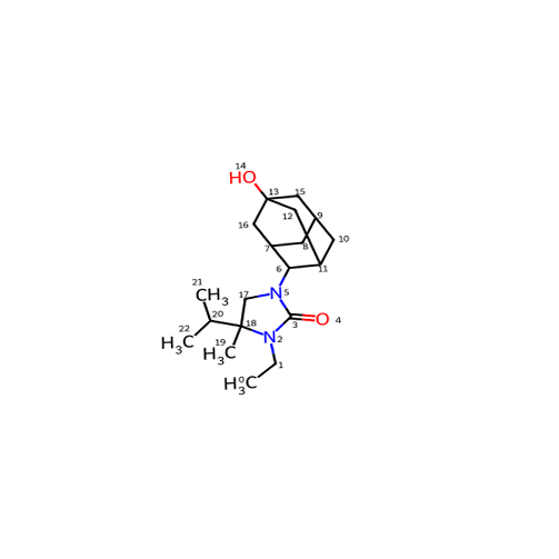 CCN1C(=O)N(C2C3CC4CC2CC(O)(C4)C3)CC1(C)C(C)C